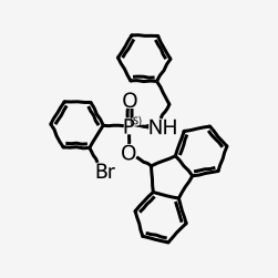 O=[P@](NCc1ccccc1)(OC1c2ccccc2-c2ccccc21)c1ccccc1Br